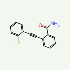 NC(=O)c1ccccc1C#Cc1ccccc1F